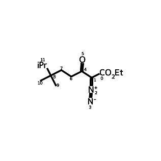 CCOC(=O)C(=[N+]=[N-])C(=O)CCC(C)(C)C(C)C